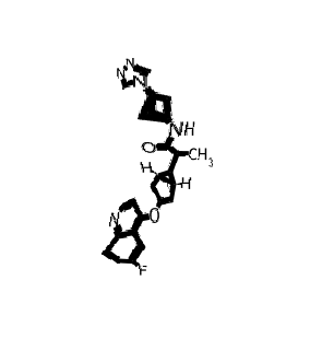 CC(C(=O)NC12CC(n3cnnc3)(C1)C2)C1[C@H]2CC(Oc3ccnc4ccc(F)cc34)C[C@@H]12